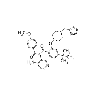 COc1ccc(C(=O)N(C(=O)c2ccc(C(C)(C)C)cc2OC2CCN(Cc3cccs3)CC2)c2cnccc2N)cc1